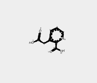 O=C(O)Cc1cccnc1C(=O)O